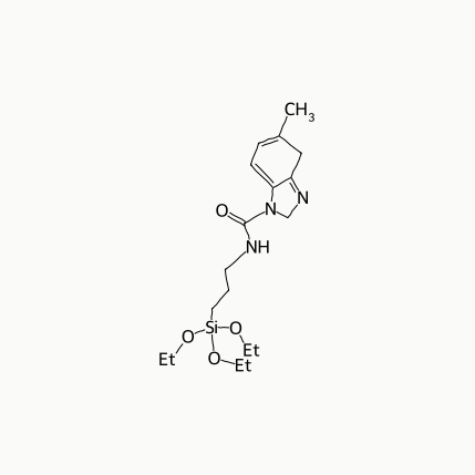 CCO[Si](CCCNC(=O)N1CN=C2CC(C)=CC=C21)(OCC)OCC